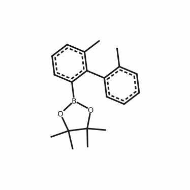 Cc1ccccc1-c1c(C)cccc1B1OC(C)(C)C(C)(C)O1